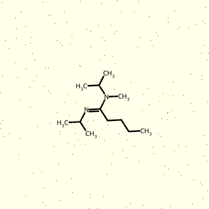 CCCC/C(=N\C(C)C)N(C)C(C)C